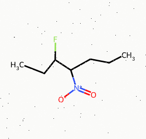 CCCC(C(F)CC)[N+](=O)[O-]